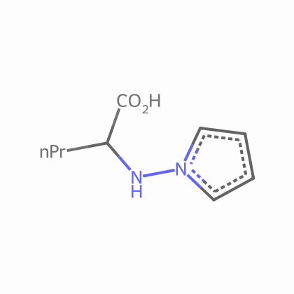 CCCC(Nn1cccc1)C(=O)O